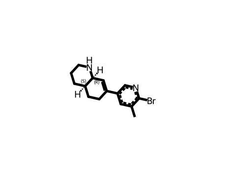 Cc1cc(C2=C[C@@H]3NCCC[C@@H]3CC2)cnc1Br